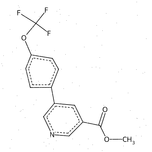 COC(=O)c1cncc(-c2ccc(OC(F)(F)F)cc2)c1